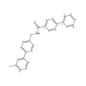 Cc1cc(-c2ccc(CNC(=O)c3ccc(-c4cnccn4)cc3)cc2)ccn1